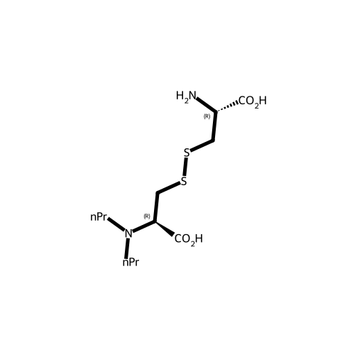 CCCN(CCC)[C@@H](CSSC[C@H](N)C(=O)O)C(=O)O